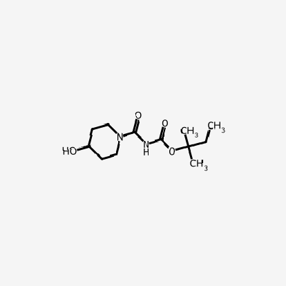 CCC(C)(C)OC(=O)NC(=O)N1CCC(O)CC1